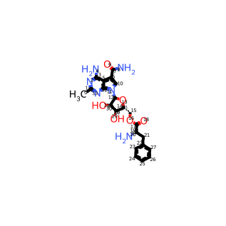 Cc1nc(N)c2c(C(N)=O)cn(C3O[C@H](COC(=O)[C@@H](N)Cc4ccccc4)[C@@H](O)[C@H]3O)c2n1